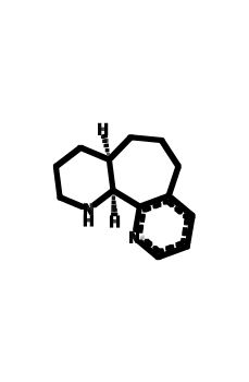 c1cnc2c(c1)CCC[C@@H]1CCCN[C@H]21